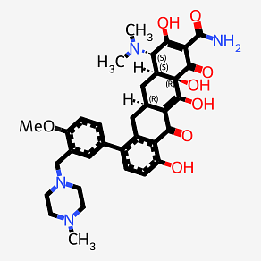 COc1ccc(-c2ccc(O)c3c2C[C@H]2C[C@H]4[C@H](N(C)C)C(O)=C(C(N)=O)C(=O)[C@]4(O)C(O)=C2C3=O)cc1CN1CCN(C)CC1